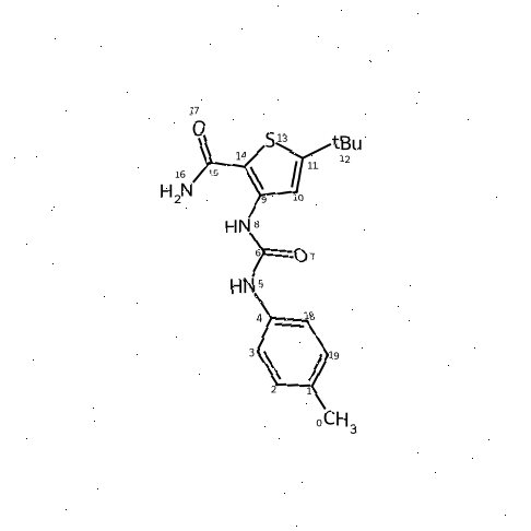 Cc1ccc(NC(=O)Nc2cc(C(C)(C)C)sc2C(N)=O)cc1